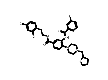 O=C(NCCc1ccc(Cl)cc1Cl)c1ccc(N2CCN(CC3CCCO3)CC2)c(NC(=O)c2cccc(Cl)c2)c1